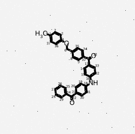 Cc1ccc(OCc2ccc(C(=O)c3ccc(Nc4ccc(C(=O)c5ccccc5)cc4)cc3)cc2)cc1